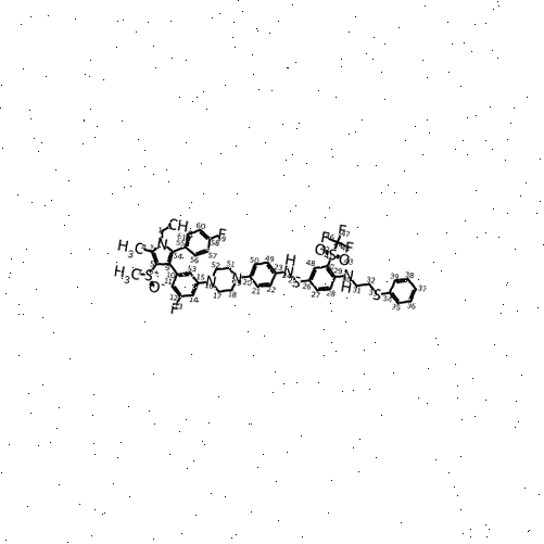 CCn1c(C)c([S+](C)[O-])c(-c2cc(F)cc(N3CCN(c4ccc(NSc5ccc(NCCSc6ccccc6)c(S(=O)(=O)C(F)(F)F)c5)cc4)CC3)c2)c1-c1ccc(F)cc1